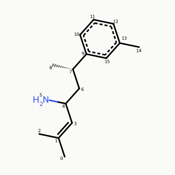 CC(C)=CC(N)C[C@H](C)c1cccc(C)c1